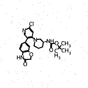 CC(C)(C)OC(=O)N[C@H]1CCCN(c2cc(Cl)ncc2-c2ccc3c(c2)OCC(=O)N3)C1